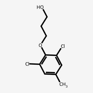 Cc1cc(Cl)c(OCCCO)c(Cl)c1